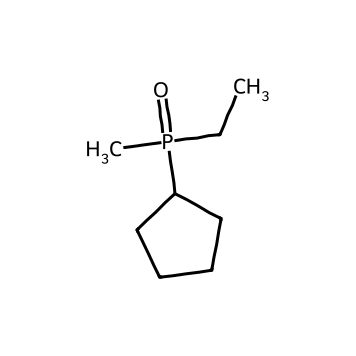 CCP(C)(=O)C1CCCC1